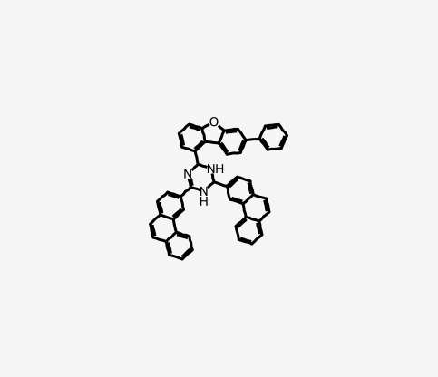 c1ccc(-c2ccc3c(c2)oc2cccc(C4N=C(c5ccc6ccc7ccccc7c6c5)NC(c5ccc6ccc7ccccc7c6c5)N4)c23)cc1